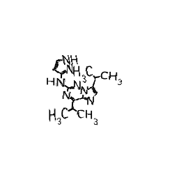 CC(C)c1nc(Nc2cc[nH]n2)nn2c(C(C)C)cnc12